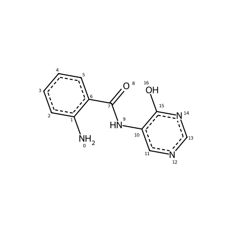 Nc1ccccc1C(=O)Nc1cncnc1O